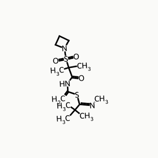 C=C(NC(=O)C(C)(C)S(=O)(=O)N1CCC1)S/C(=N\C)C(C)(C)C